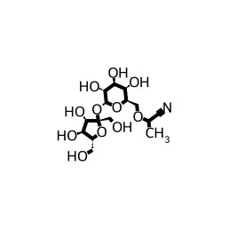 CC(C#N)OC[C@H]1O[C@H](O[C@]2(CO)O[C@H](CO)[C@@H](O)[C@@H]2O)[C@H](O)[C@@H](O)[C@@H]1O